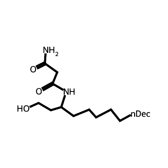 CCCCCCCCCCCCCCCC(CCO)NC(=O)CC(N)=O